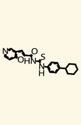 O=C(NC(=S)Nc1ccc(C2CCCCC2)cc1)c1cc2cnccc2o1